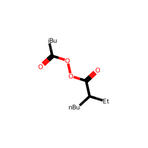 CCCCC(CC)C(=O)OOC(=O)C(C)CC